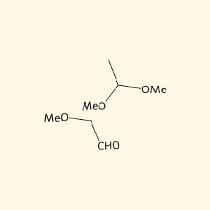 COC(C)OC.COCC=O